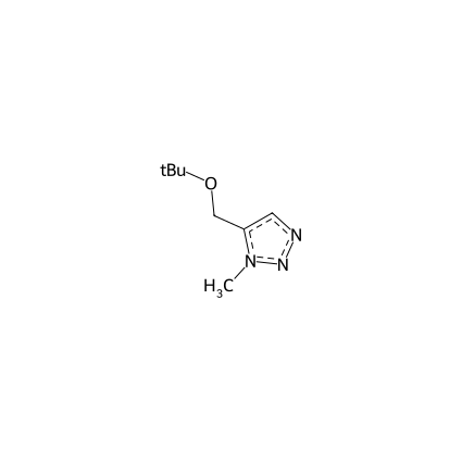 Cn1nncc1COC(C)(C)C